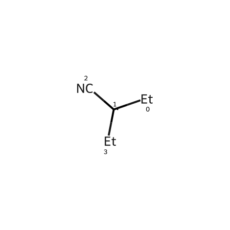 CC[C](C#N)CC